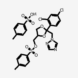 Cc1ccc(S(=O)(=O)O)cc1.Cc1ccc(S(=O)(=O)OCC2COC(Cn3cncn3)(c3ccc(Cl)cc3Cl)O2)cc1